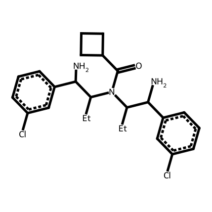 CCC(C(N)c1cccc(Cl)c1)N(C(=O)C1CCC1)C(CC)C(N)c1cccc(Cl)c1